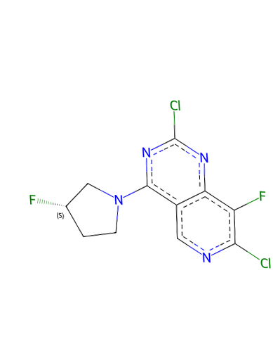 Fc1c(Cl)ncc2c(N3CC[C@H](F)C3)nc(Cl)nc12